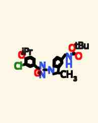 CC(C)Oc1ccc(-c2nc(N3CC(C)c4cc(CNC(=O)OC(C)(C)C)ccc43)no2)cc1Cl